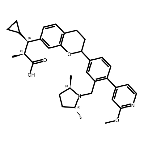 COc1cc(-c2ccc(C3CCc4ccc([C@H](C5CC5)[C@H](C)C(=O)O)cc4O3)cc2CN2[C@H](C)CC[C@H]2C)ccn1